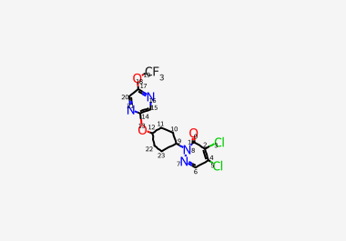 O=c1c(Cl)c(Cl)cnn1C1CCC(Oc2cnc(OC(F)(F)F)cn2)CC1